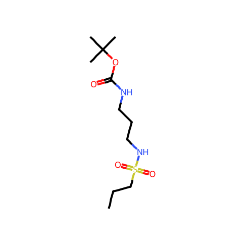 CCCS(=O)(=O)NCCCNC(=O)OC(C)(C)C